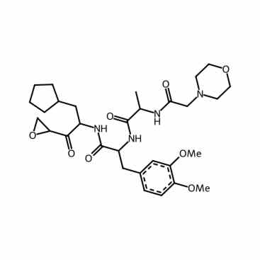 COc1ccc(CC(NC(=O)C(C)NC(=O)CN2CCOCC2)C(=O)NC(CC2CCCC2)C(=O)C2CO2)cc1OC